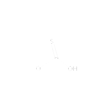 [O]C(O)=S